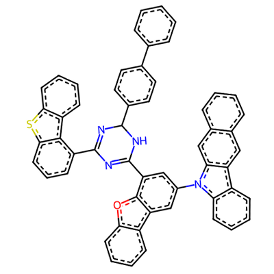 c1ccc(-c2ccc(C3N=C(c4cccc5sc6ccccc6c45)N=C(c4cc(-n5c6ccccc6c6cc7ccccc7cc65)cc5c4oc4ccccc45)N3)cc2)cc1